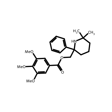 COc1cc(C(=O)OCC2(c3ccccc3)CCCC(C)(C)N2)cc(OC)c1OC